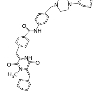 Cn1c(=O)c(=Cc2ccc(C(=O)Nc3ccc(CN4CCN(c5ccccc5)CC4)cc3)cc2)[nH]c(=O)c1=Cc1ccccc1